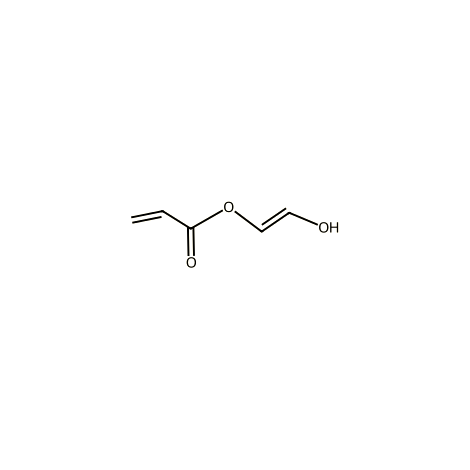 C=CC(=O)OC=CO